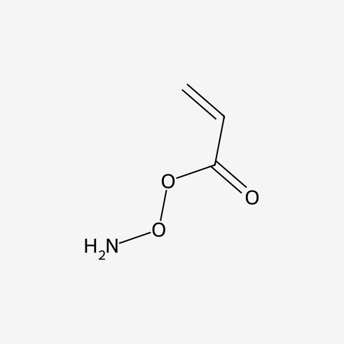 C=CC(=O)OON